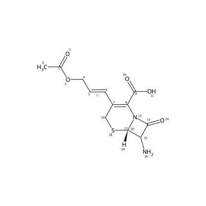 CC(=O)OC/C=C/C1=C(C(=O)O)N2C(=O)C(N)[C@@H]2SC1